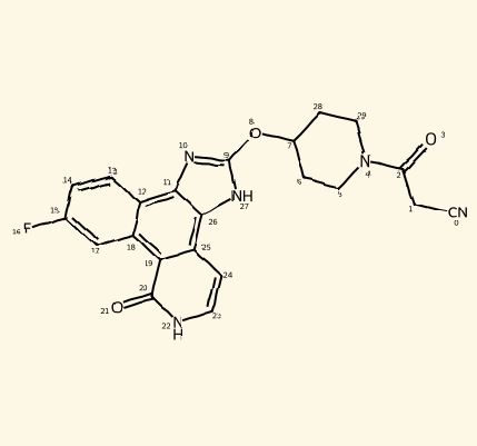 N#CCC(=O)N1CCC(Oc2nc3c4ccc(F)cc4c4c(=O)[nH]ccc4c3[nH]2)CC1